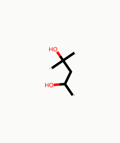 [CH2]C(O)CC([CH2])(C)O